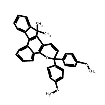 CSc1ccc(C2(c3ccc(SC)cc3)C=Cc3c4c(c5ccccc5c3O2)-c2ccccc2C4(C)C)cc1